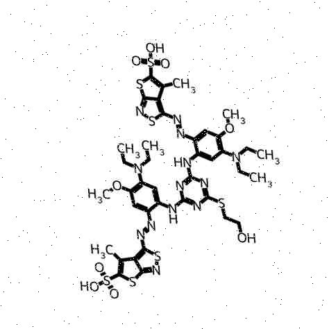 CCN(CC)c1cc(Nc2nc(Nc3cc(N(CC)CC)c(OC)cc3/N=N/c3snc4sc(S(=O)(=O)O)c(C)c34)nc(SCCO)n2)c(/N=N/c2snc3sc(S(=O)(=O)O)c(C)c23)cc1OC